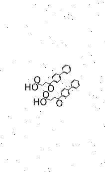 O=C(O)CCC(=O)c1ccc(-c2ccccc2)cc1.O=C(O)CCC(=O)c1ccc(-c2ccccc2)cc1